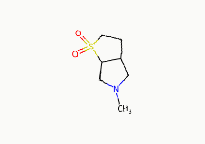 CN1CC2CCS(=O)(=O)C2C1